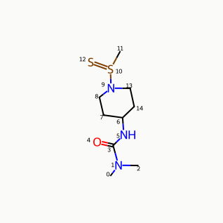 CN(C)C(=O)NC1CCN(S(C)=S)CC1